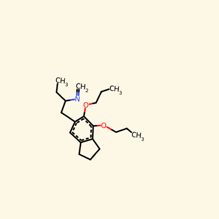 C=NC(CC)Cc1cc2c(c(OCCC)c1OCCC)CCC2